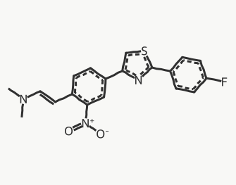 CN(C)C=Cc1ccc(-c2csc(-c3ccc(F)cc3)n2)cc1[N+](=O)[O-]